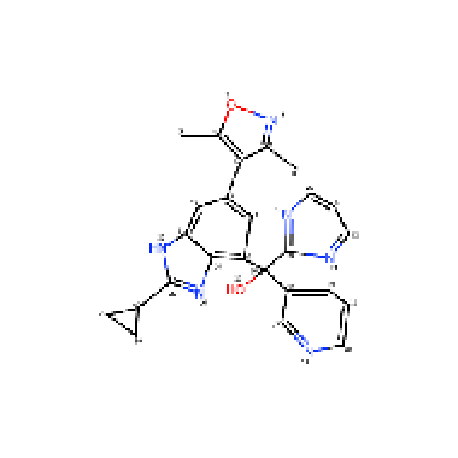 Cc1noc(C)c1-c1cc(C(O)(c2cccnc2)c2ncccn2)c2nc(C3CC3)[nH]c2c1